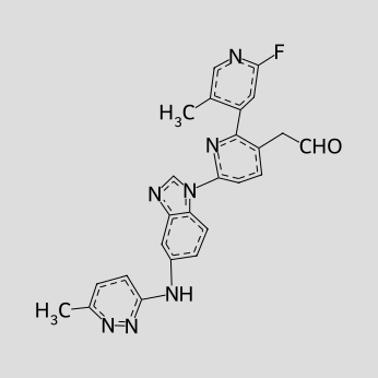 Cc1ccc(Nc2ccc3c(c2)ncn3-c2ccc(CC=O)c(-c3cc(F)ncc3C)n2)nn1